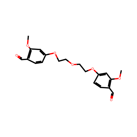 COc1cc(OCCOCCOc2ccc(C=O)c(OC)c2)ccc1C=O